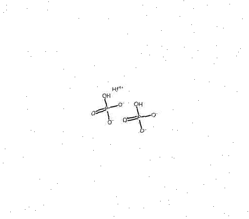 O=P([O-])([O-])O.O=P([O-])([O-])O.[Hf+4]